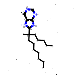 CCCCCCCC(C)(CCCCC)c1nc2ncncc2[nH]1